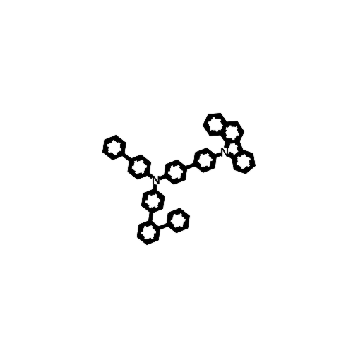 c1ccc(-c2ccc(N(c3ccc(-c4ccc(-n5c6ccccc6c6ccc7ccccc7c65)cc4)cc3)c3ccc(-c4ccccc4-c4ccccc4)cc3)cc2)cc1